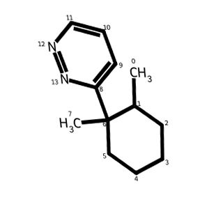 CC1CCCCC1(C)c1cccnn1